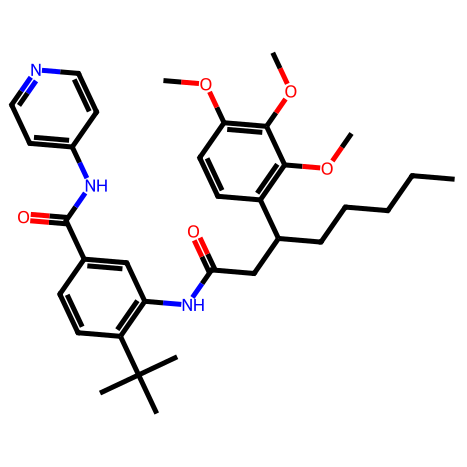 CCCCCC(CC(=O)Nc1cc(C(=O)Nc2ccncc2)ccc1C(C)(C)C)c1ccc(OC)c(OC)c1OC